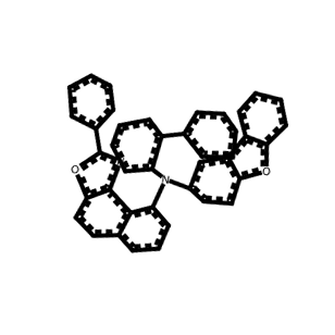 c1ccc(-c2nc3c(ccc4cccc(N(c5ccc6oc7ccccc7c6c5)c5ccccc5-c5ccccc5)c43)o2)cc1